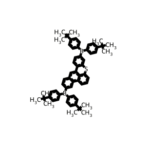 CC(C)(C)c1ccc(B(c2ccc(C(C)(C)C)cc2)c2ccc3c(c2)Sc2cccc4c2c-3cc2ccc(B(c3ccc(C(C)(C)C)cc3)c3ccc(C(C)(C)C)cc3)cc24)cc1